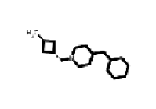 C[C@H]1C[C@H](CN2CCC(CC3CCCCC3)CC2)C1